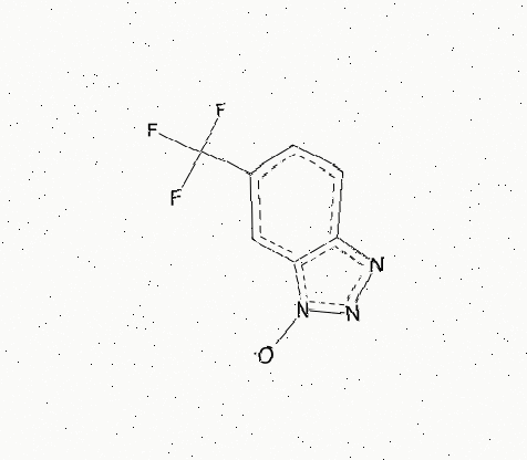 [O]n1nnc2ccc(C(F)(F)F)cc21